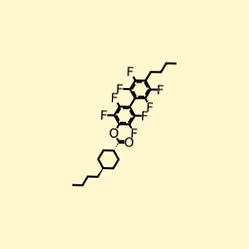 CCCCc1c(F)c(F)c(-c2c(F)c(F)c(OC(=O)[C@H]3CC[C@H](CCCC)CC3)c(F)c2F)c(F)c1F